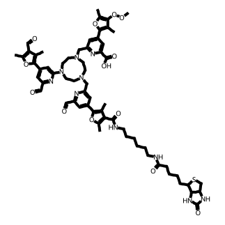 COOc1c(C)oc(-c2cc(CN3CCN(Cc4cc(-c5oc(C)c(C(=O)NCCCCCCNC(=O)CCCCC6SCC7NC(=O)NC76)c5C)cc(C=O)n4)CCN(c4cc(-c5oc(C)c(C=O)c5C)cc(C=O)n4)CC3)nc(C(=O)O)c2)c1C